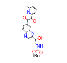 Cc1cccc(C(=O)C(=O)c2ccc3ncc(C(O)CNC(=O)OC(C)(C)C)nc3c2)n1